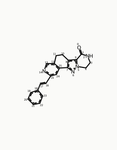 O=C1NCCn2nc3c(c21)CCc1cnc(/C=C/c2ccccc2)cc1-3